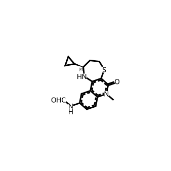 Cn1c(=O)c2c(c3cc(NC=O)ccc31)N[C@@H](C1CC1)CCS2